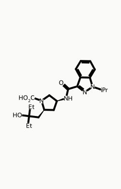 CCC(O)(CC)C[C@@H]1C[C@H](NC(=O)c2nn(C(C)C)c3ccccc23)CN1C(=O)O